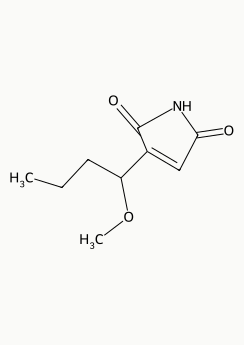 CCCC(OC)C1=CC(=O)NC1=O